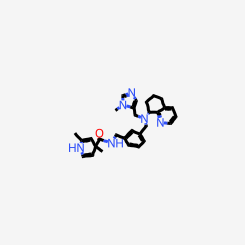 CC1=CC(C)(C(=O)NCc2cccc(CN(Cc3cncn3C)C3CCCc4cccnc43)c2)C=CN1